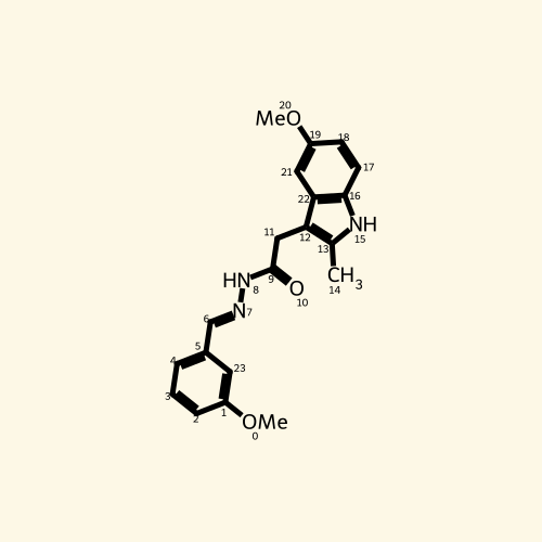 COc1cccc(/C=N/NC(=O)Cc2c(C)[nH]c3ccc(OC)cc23)c1